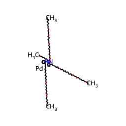 CCCCCCCCCCCCCCCCCCCCCCCCC=CCCCc1ccccc1N=C(C=CCCCCCCCCCCCCCCCCCCCCCCCCCCC)C(CCCCCCCC)=Nc1ccccc1CCCC=CCCCCCCCCCCCCCCCCCCCCCCCC.[Pd]